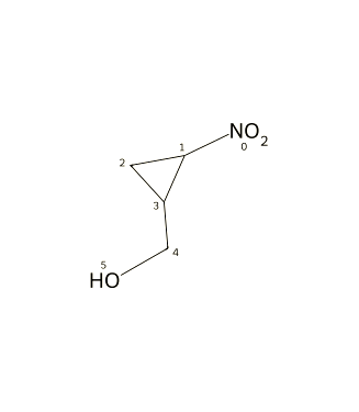 O=[N+]([O-])C1CC1CO